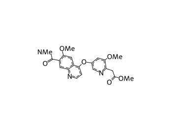 CNC(=O)c1cc2nccc(Oc3cnc(CC(=O)OC)c(OC)c3)c2cc1OC